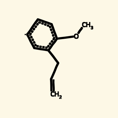 C=CCc1c[c]ccc1OC